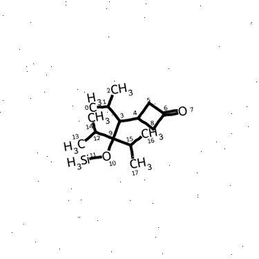 CC(C)C(C1CC(=O)C1)C(O[SiH3])(C(C)C)C(C)C